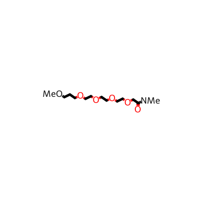 CNC(=O)COCCOCCOCCOCCCOC